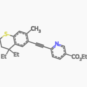 CCOC(=O)c1ccc(C#Cc2cc3c(cc2C)SCCC3(CC)CC)nc1